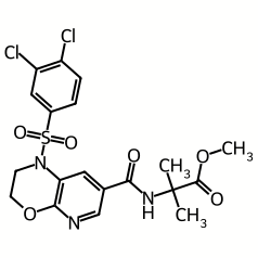 COC(=O)C(C)(C)NC(=O)c1cnc2c(c1)N(S(=O)(=O)c1ccc(Cl)c(Cl)c1)CCO2